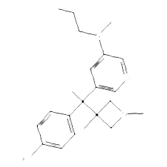 CC(C)c1ccc(C(O)(c2cncc(N(C)CCO)c2)C2(C)CN(C)C2)cc1